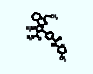 C=CC(=O)N1CCCCC1c1nc(-c2ccc(C(=O)Nc3cc(C(F)(F)F)ccn3)cc2)c(C(N)=O)n1N